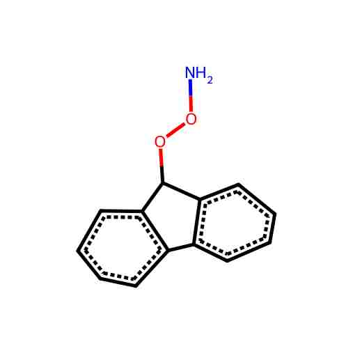 NOOC1c2ccccc2-c2ccccc21